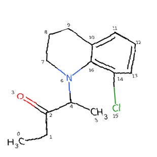 CCC(=O)C(C)N1CCCc2cccc(Cl)c21